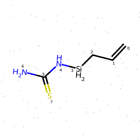 C=CC[SiH2]NC(N)=S